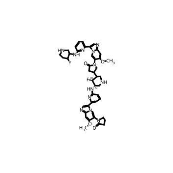 COc1cc2ncc(-c3cccc(N[C@H]4CNCC(C5CC(=O)N(c6cn7c(-c8cccc(NC9CNCCC9F)n8)cnc7cc6OC)C5)[C@@H]4F)n3)n2cc1N1CCCC1=O